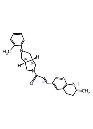 C=C1CCc2cc(/C=C/C(=O)N3C[C@@H]4CN(c5ccccc5C)C[C@@H]4C3)cnc2N1